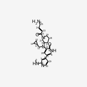 CNc1cc(-c2c[nH]c(=O)c(N(CC3CC3)C3CCCN(C(=O)/C=C/CN)C3)c2)ccn1